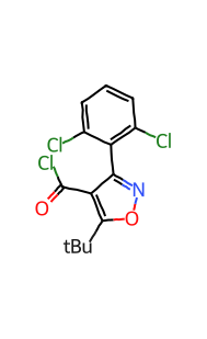 CC(C)(C)c1onc(-c2c(Cl)cccc2Cl)c1C(=O)Cl